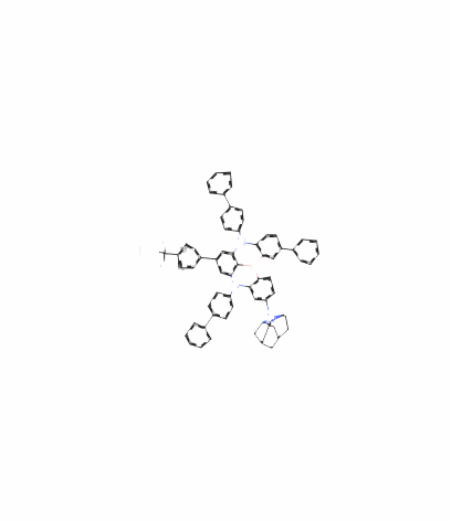 CC(C)(C)c1ccc(-c2cc3c4c(c2)N(c2ccc(-c5ccccc5)cc2)c2cc(N5C6CC7CC(C6)CC5C7)ccc2B4c2cc(-c4ccccc4)ccc2N3c2ccc(-c3ccccc3)cc2)cc1